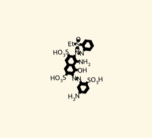 CCS(=O)(=O)c1ccccc1N=Nc1c(S(=O)(=O)O)cc2cc(S(=O)(=O)O)c(N=Nc3cc(N)ccc3S(=O)(=O)O)c(O)c2c1N